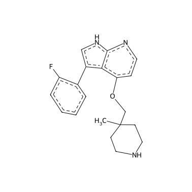 CC1(COc2ccnc3[nH]cc(-c4ccccc4F)c23)CCNCC1